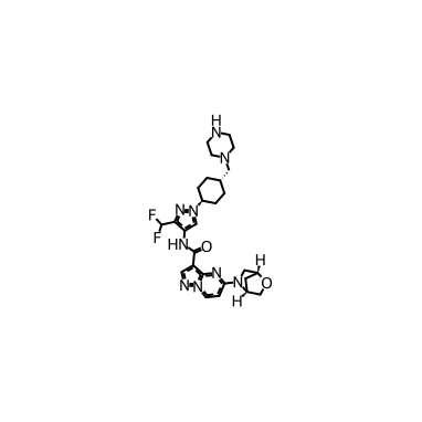 O=C(Nc1cn([C@H]2CC[C@H](CN3CCNCC3)CC2)nc1C(F)F)c1cnn2ccc(N3C[C@H]4C[C@@H]3CO4)nc12